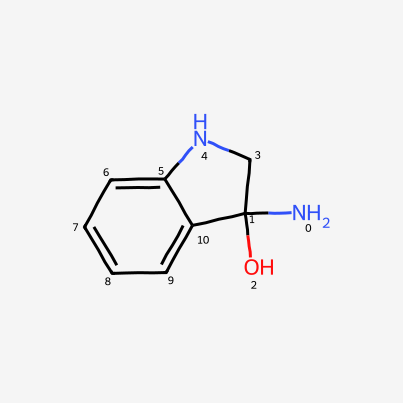 NC1(O)CNc2ccccc21